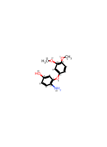 COc1ccc(Oc2cc(O)ccc2N)cc1OC